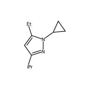 CCc1cc(C(C)C)nn1C1CC1